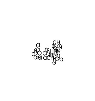 COc1cc(OC)nc(NC(=O)NS(=O)(=O)c2c(C(=O)O)cnn2C)n1.Cc1cnc2c(C(=O)O)c(Cl)ccc2c1.O=C(O)c1c(Cl)ccc2cc(Cl)cnc12